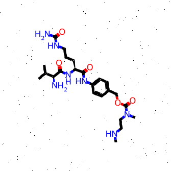 CNCCN(C)C(=O)OCc1ccc(NC(=O)[C@H](CCCNC(N)=O)NC(=O)[C@@H](N)C(C)C)cc1